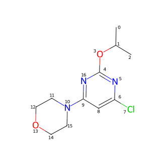 CC(C)Oc1nc(Cl)cc(N2CCOCC2)n1